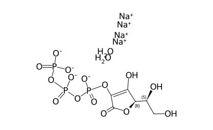 O.O.O=C1O[C@H]([C@@H](O)CO)C(O)=C1OP(=O)([O-])OP(=O)([O-])OP(=O)([O-])[O-].[Na+].[Na+].[Na+].[Na+]